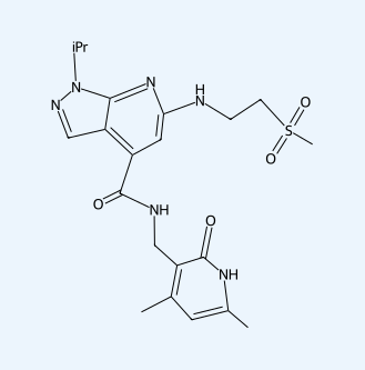 Cc1cc(C)c(CNC(=O)c2cc(NCCS(C)(=O)=O)nc3c2cnn3C(C)C)c(=O)[nH]1